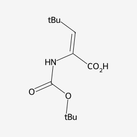 CC(C)(C)C=C(NC(=O)OC(C)(C)C)C(=O)O